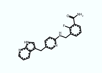 NC(=O)c1cccc(CNc2ccc(Cc3c[nH]c4ncccc34)cn2)c1F